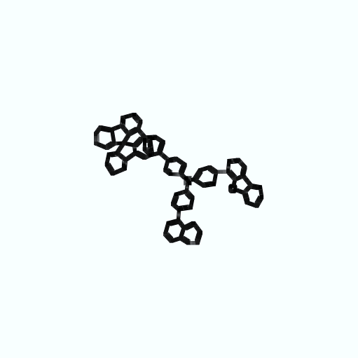 c1ccc2c(c1)-c1ccccc1C21c2ccccc2-c2cccc(-c3ccc(-c4ccc(N(c5ccc(-c6cccc7ccccc67)cc5)c5ccc(-c6cccc7c6oc6ccccc67)cc5)cc4)cc3)c21